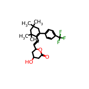 CC1(C)CC(c2ccc(C(F)(F)F)cc2)=C(C=CC2CC(O)CC(=O)O2)C(C)(C)C1